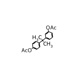 CC(=O)Oc1ccc(C(C)(C)c2cccc(OC(C)=O)c2)cc1